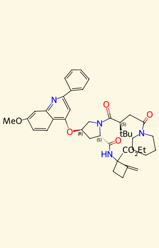 C=C1CCC1(NC(=O)[C@@H]1C[C@@H](Oc2cc(-c3ccccc3)nc3cc(OC)ccc23)CN1C(=O)[C@@H](CC(=O)N1CCCCC1)C(C)(C)C)C(=O)OCC